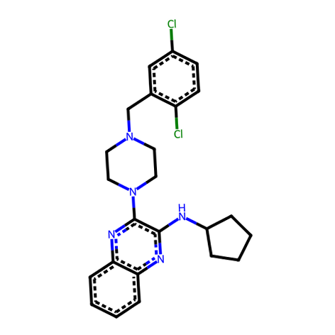 Clc1ccc(Cl)c(CN2CCN(c3nc4ccccc4nc3NC3CCCC3)CC2)c1